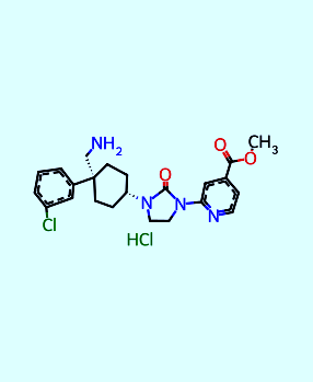 COC(=O)c1ccnc(N2CCN([C@H]3CC[C@](CN)(c4cccc(Cl)c4)CC3)C2=O)c1.Cl